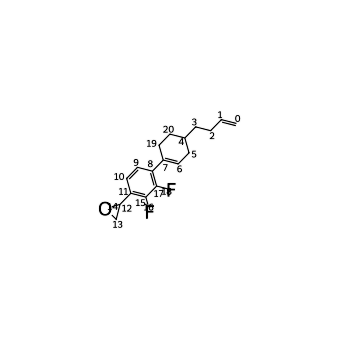 C=CCCC1CC=C(c2ccc(C3CO3)c(F)c2F)CC1